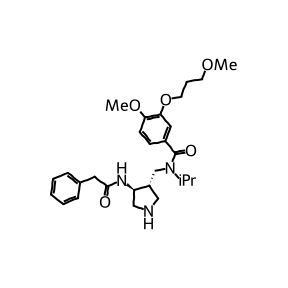 COCCCOc1cc(C(=O)N(C[C@@H]2CNC[C@H]2NC(=O)Cc2ccccc2)C(C)C)ccc1OC